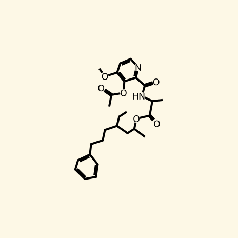 CCC(CCCc1ccccc1)CC(C)OC(=O)C(C)NC(=O)c1nccc(OC)c1OC(C)=O